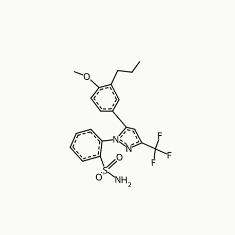 CCCc1cc(-c2cc(C(F)(F)F)nn2-c2ccccc2S(N)(=O)=O)ccc1OC